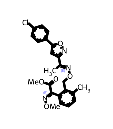 CO/N=C(/C(=O)OC)c1cccc(C)c1CO/N=C(\C)c1cc(-c2ccc(Cl)cc2)on1